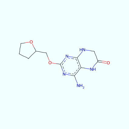 Nc1nc(OCC2CCCO2)nc2c1NC(=O)CN2